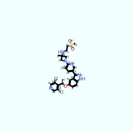 C[C@@H](Oc1ccc2[nH]nc(-c3cnc(N4CC(C)(NCCS(C)(=O)=O)C4)c(F)c3)c2c1)c1c(Cl)cncc1Cl